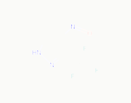 O=Nc1c[nH]nc1C(F)(F)F